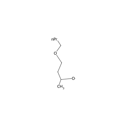 CCCCOCCC(C)[O]